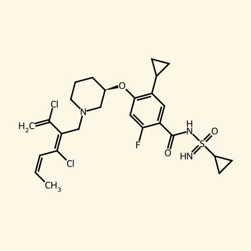 C=C(Cl)/C(CN1CCC[C@@H](Oc2cc(F)c(C(=O)NS(=N)(=O)C3CC3)cc2C2CC2)C1)=C(Cl)\C=C/C